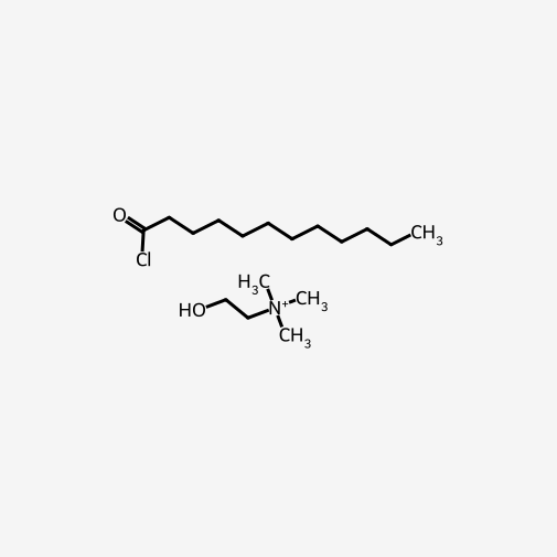 CCCCCCCCCCCC(=O)Cl.C[N+](C)(C)CCO